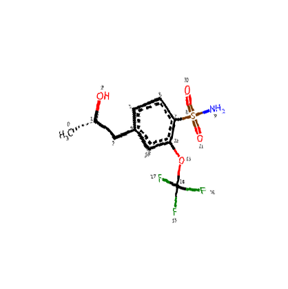 C[C@H](O)Cc1ccc(S(N)(=O)=O)c(OC(F)(F)F)c1